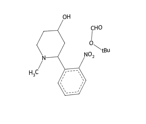 CC(C)(C)OC=O.CN1CCC(O)CC1c1ccccc1[N+](=O)[O-]